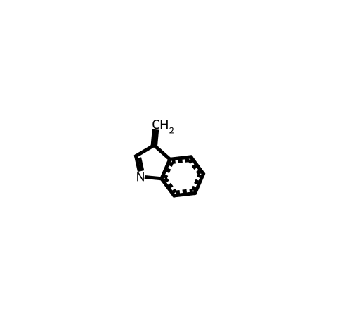 C=C1C=Nc2ccccc21